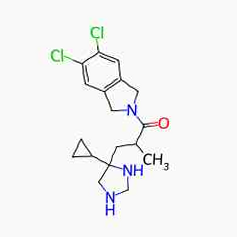 CC(CC1(C2CC2)CNCN1)C(=O)N1Cc2cc(Cl)c(Cl)cc2C1